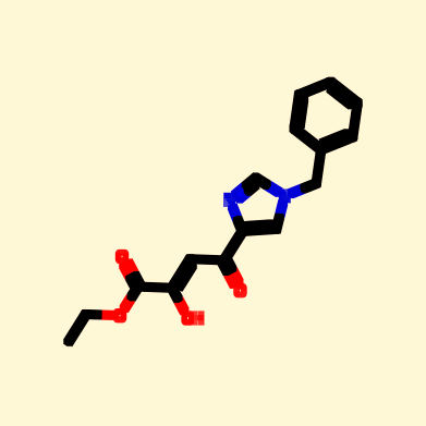 CCOC(=O)C(O)=CC(=O)c1cn(Cc2ccccc2)cn1